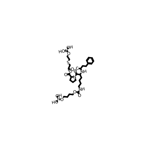 O=C(NCCCCC(NC(CCc1ccccc1)C(=O)O)C(=O)N1CCCC1C(=O)OCCSCCON(O)O)OCCCCON(O)O